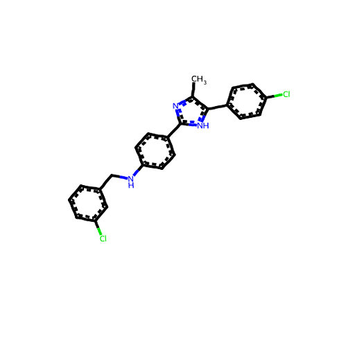 Cc1nc(-c2ccc(NCc3cccc(Cl)c3)cc2)[nH]c1-c1ccc(Cl)cc1